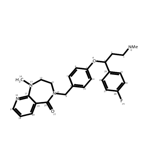 CNCCC(Oc1ccc(CN2CCN(C)c3ncccc3C2=O)cc1)c1ccc(F)cc1